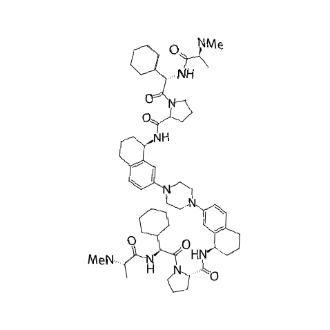 CN[C@@H](C)C(=O)N[C@H](C(=O)N1CCCC1C(=O)N[C@@H]1CCCc2ccc(N3CCN(c4ccc5c(c4)[C@H](NC(=O)[C@@H]4CCCN4C(=O)[C@@H](NC(=O)[C@H](C)NC)C4CCCCC4)CCC5)CC3)cc21)C1CCCCC1